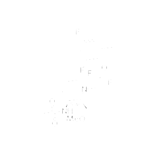 COC[C@H]1[C@@H](NS(C)(=O)=O)CCCN1CC(F)(F)Oc1c(C)cc(F)cc1F